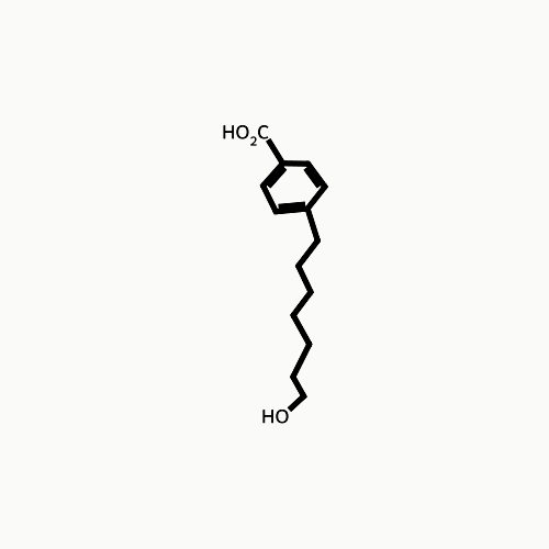 O=C(O)c1ccc(CCCCCCCO)cc1